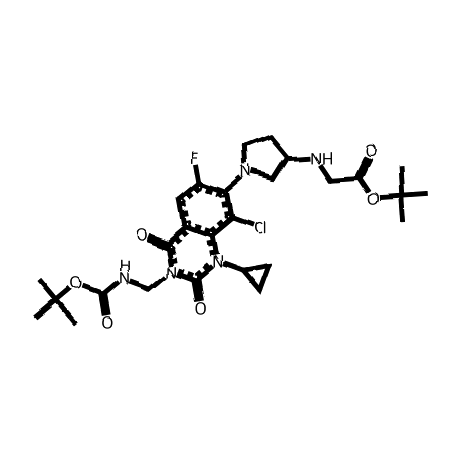 CC(C)(C)OC(=O)CNC1CCN(c2c(F)cc3c(=O)n(CNC(=O)OC(C)(C)C)c(=O)n(C4CC4)c3c2Cl)C1